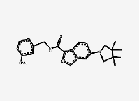 COc1cccc(CNC(=O)c2ncn3cc(B4CC(C)(C)C(C)(C)C4)ccc23)c1